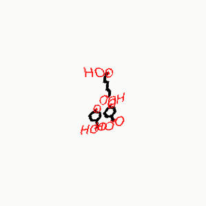 O=C(O)C1CCC2OC2C1.O=C(O)C1CCC2OC2C1.O=C(O)CCCCC(=O)O